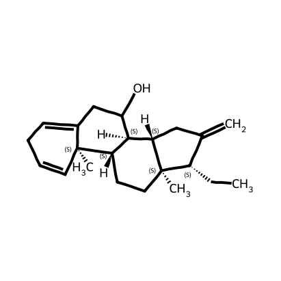 C=C1C[C@H]2[C@@H]3C(O)CC4=CCC=C[C@]4(C)[C@H]3CC[C@]2(C)[C@H]1CC